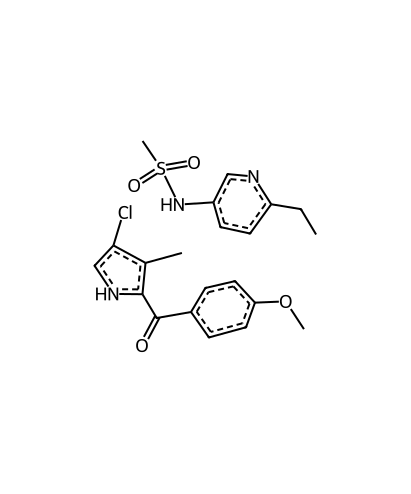 CCc1ccc(NS(C)(=O)=O)cn1.COc1ccc(C(=O)c2[nH]cc(Cl)c2C)cc1